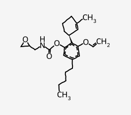 C=COc1cc(CCCCC)cc(OC(=O)NCC2CO2)c1[C@@H]1C=C(C)CCC1